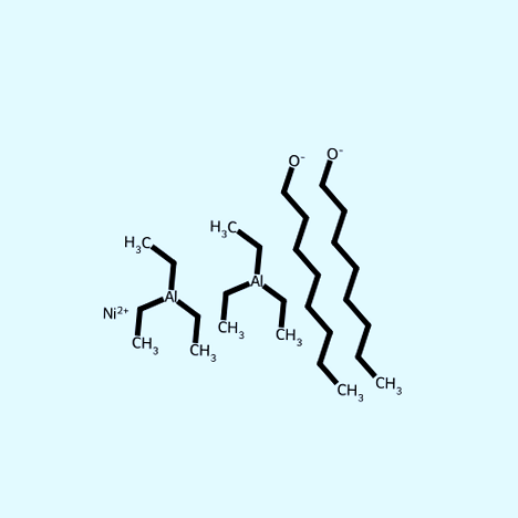 CCCCCCCC[O-].CCCCCCCC[O-].C[CH2][Al]([CH2]C)[CH2]C.C[CH2][Al]([CH2]C)[CH2]C.[Ni+2]